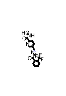 O=C(NO)c1ccc(/C=N/NC(=O)c2ccccc2C(F)(F)F)cn1